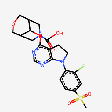 CS(=O)(=O)c1ccc(N2CCc3c(OC4C5COCC4CN(C(=O)O)C5)ncnc32)c(F)c1